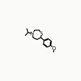 COc1ccc(C2CCN(C(C)C)CCS2)cc1